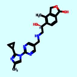 Cc1cn(-c2ncc(CNC[C@H](O)c3ccc4c(c3C)COC4O)cn2)c(C2CC2)n1